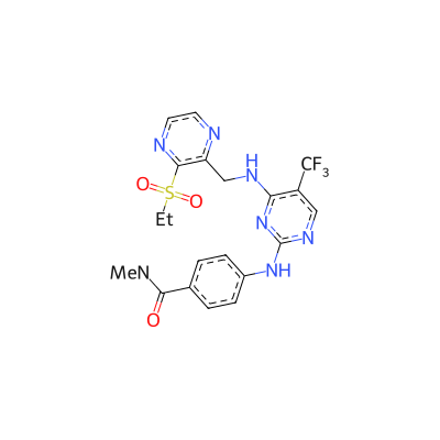 CCS(=O)(=O)c1nccnc1CNc1nc(Nc2ccc(C(=O)NC)cc2)ncc1C(F)(F)F